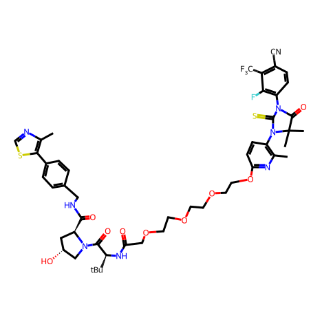 Cc1nc(OCCOCCOCCOCC(=O)N[C@H](C(=O)N2C[C@H](O)C[C@H]2C(=O)NCc2ccc(-c3scnc3C)cc2)C(C)(C)C)ccc1N1C(=S)N(c2ccc(C#N)c(C(F)(F)F)c2F)C(=O)C1(C)C